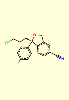 N#Cc1ccc2c(c1)CO[C@@]2(CCCCl)c1ccc(F)cc1